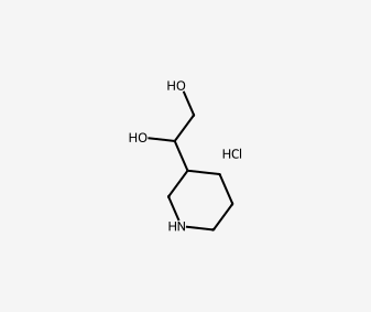 Cl.OCC(O)C1CCCNC1